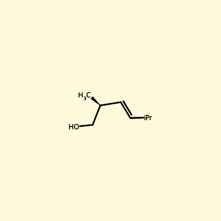 CC(C)/C=C/[C@H](C)CO